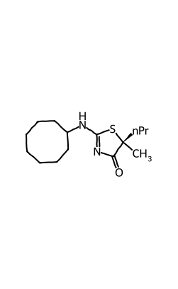 CCC[C@]1(C)SC(NC2CCCCCCC2)=NC1=O